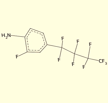 Nc1ccc(C(F)(F)C(F)(F)C(F)(F)C(F)(F)F)cc1F